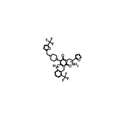 Cc1c(N2CCN(Cc3ccc(C(F)(F)F)o3)CC2)c(=O)n(C[C@H](N)c2ccco2)c(=O)n1Cc1c(F)cccc1C(F)(F)F